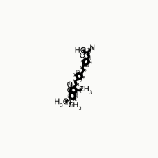 CCc1c(/C=C/c2ccc(/C=C/c3ccc(/C=C(/C#N)C(=O)O)cc3)cc2)c(=O)oc2cc(N(C)C)ccc12